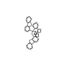 [Cl][Zr]([Cl])[C](Cc1cccc2c1Cc1ccccc1-2)(c1ccccc1)c1cccc2c1Cc1ccccc1-2